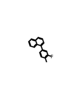 Cc1ccc(-c2cccc3ccccc23)cc1F